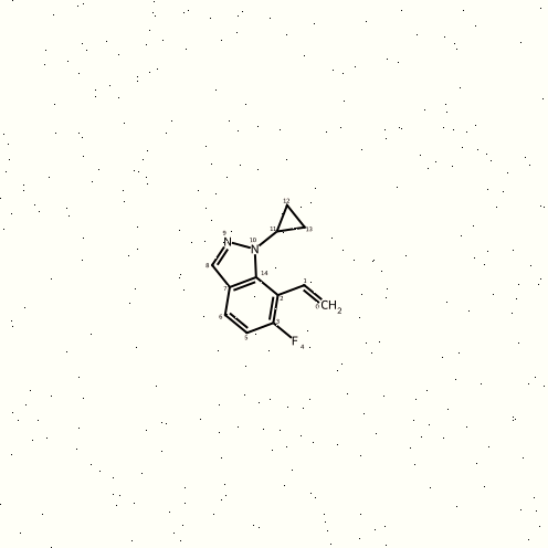 C=Cc1c(F)ccc2cnn(C3CC3)c12